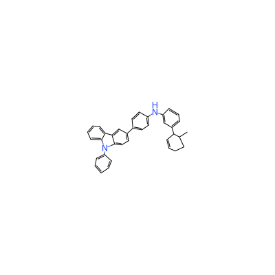 CC1CCC=CC1c1cccc(Nc2ccc(-c3ccc4c(c3)c3ccccc3n4-c3ccccc3)cc2)c1